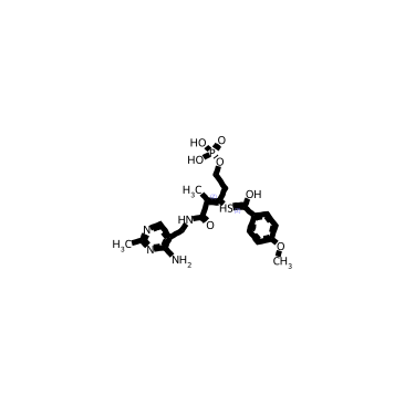 COc1ccc(/C(O)=[SH]/C(CCOP(=O)(O)O)=C(/C)C(=O)NCc2cnc(C)nc2N)cc1